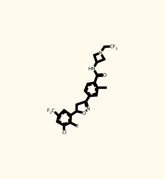 Cc1cc(C2=NOC(c3cc(C(F)(F)F)cc(Cl)c3F)C2)ccc1C(=O)NC1CN(CC(F)(F)F)C1